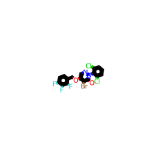 O=c1c(Br)c(OCc2ccc(F)c(F)c2F)cnn1-c1c(Cl)cccc1Cl